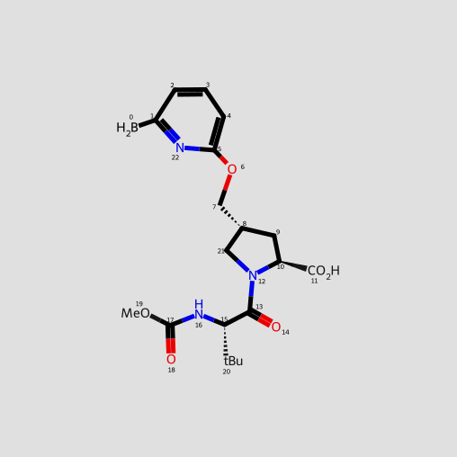 Bc1cccc(OC[C@@H]2C[C@@H](C(=O)O)N(C(=O)[C@@H](NC(=O)OC)C(C)(C)C)C2)n1